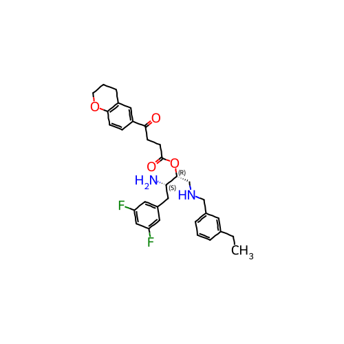 CCc1cccc(CNC[C@@H](OC(=O)CCC(=O)c2ccc3c(c2)CCCO3)[C@@H](N)Cc2cc(F)cc(F)c2)c1